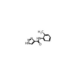 Cc1ccccc1NC(=O)c1c[nH]nn1